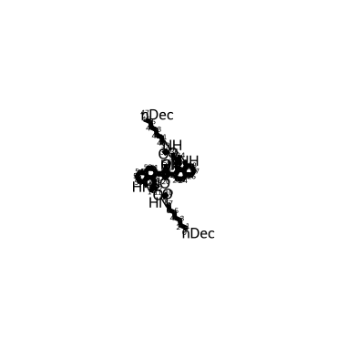 CCCCCCCCCCCCCCCCCNC(=O)OCC1(C)N=c2/c(=C3\C(=O)C(c4ccc5cccc6c5c4NC(C)(COC(=O)NCCCCCCCCCCCCCCCCC)N6)=C3O)ccc3cccc(c23)N1